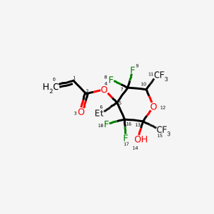 C=CC(=O)OC1(CC)C(F)(F)C(C(F)(F)F)OC(O)(C(F)(F)F)C1(F)F